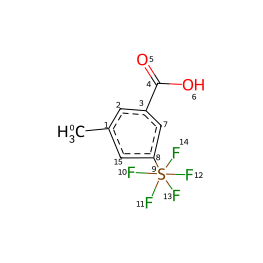 Cc1cc(C(=O)O)cc(S(F)(F)(F)(F)F)c1